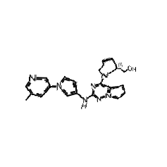 Cc1cncc(-n2ccc(Nc3nc(N4CCC[C@H]4CO)c4cccn4n3)c2)c1